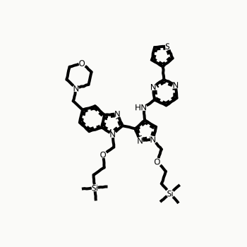 C[Si](C)(C)CCOCn1cc(Nc2ccnc(-c3ccsc3)n2)c(-c2nc3cc(CN4CCOCC4)ccc3n2COCC[Si](C)(C)C)n1